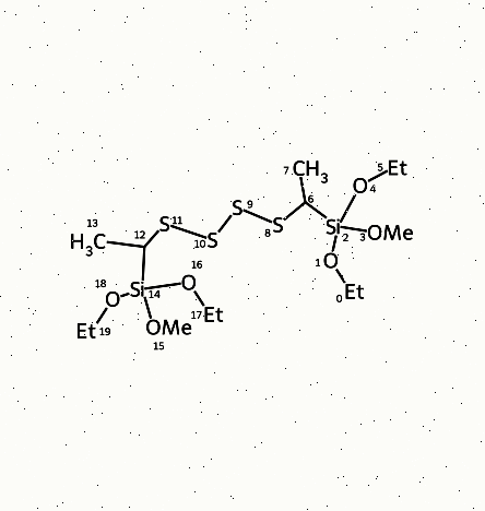 CCO[Si](OC)(OCC)C(C)SSSSC(C)[Si](OC)(OCC)OCC